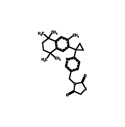 Cc1cc2c(cc1C1(c3ccc(CN4C(=O)CSC4=O)cn3)CC1)C(C)(C)CCC2(C)C